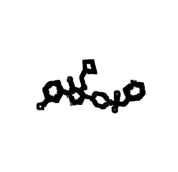 O=c1c(OCC2CCC2)c(N2CCN(S(=O)(=O)Cc3cccnc3)CC2)cnn1-c1cccc(Cl)c1